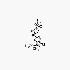 CCC(C)c1nc(Cl)c2cnc(N[C@@H]3CCN(S(C)(=O)=O)C[C@@H]3F)nn12